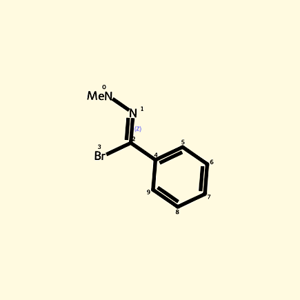 CN/N=C(\Br)c1ccccc1